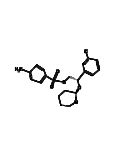 Cc1ccc(S(=O)(=O)OC[C@@H](O[C@@H]2CCCCO2)c2cccc(Cl)c2)cc1